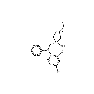 CCCCC1(CC)CN(c2ccccc2)c2ccc(Br)cc2SN1